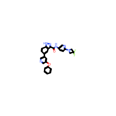 O=C(Nc1ccc(N2CC(F)(F)C2)nc1)c1n[nH]c2ccc(-c3cncc(Oc4ccccc4)c3)cc12